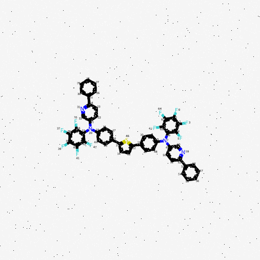 Fc1c(F)c(F)c(N(c2ccc(-c3ccc(-c4ccc(N(c5ccc(-c6ccccc6)nc5)c5c(F)c(F)c(F)c(F)c5F)cc4)s3)cc2)c2ccc(-c3ccccc3)nc2)c(F)c1F